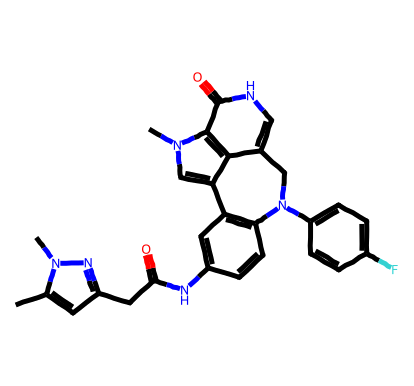 Cc1cc(CC(=O)Nc2ccc3c(c2)-c2cn(C)c4c(=O)[nH]cc(c24)CN3c2ccc(F)cc2)nn1C